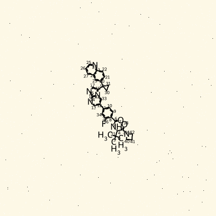 CC(C)(C)[C@H](NC(=O)c1ccc(-c2cnc3ncc(C4(c5ccc6ncccc6c5)CC4)n3c2)cc1F)C(=O)N1CCC1